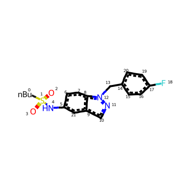 CCCCS(=O)(=O)Nc1ccc2c(cnn2Cc2ccc(F)cc2)c1